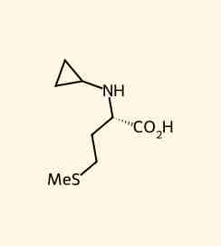 CSCC[C@H](NC1CC1)C(=O)O